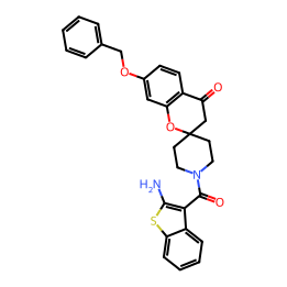 Nc1sc2ccccc2c1C(=O)N1CCC2(CC1)CC(=O)c1ccc(OCc3ccccc3)cc1O2